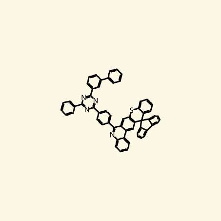 c1ccc(-c2cccc(-c3nc(-c4ccccc4)nc(-c4ccc(-c5nc6ccccc6c6cc7c(cc56)Sc5ccccc5C75c6ccccc6-c6ccccc65)cc4)n3)c2)cc1